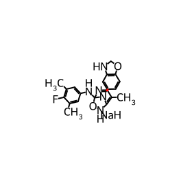 CC1=C2NOC(Nc3cc(C)c(F)c(C)c3)(N=C1)N2c1ccc2c(c1)NCO2.[NaH]